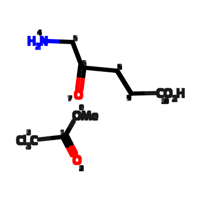 COC(=O)C(Cl)(Cl)Cl.NCC(=O)CCC(=O)O